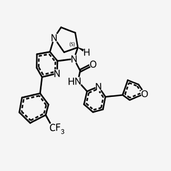 O=C(Nc1cccc(-c2ccoc2)n1)N1c2nc(-c3cccc(C(F)(F)F)c3)ccc2N2CC[C@H]1C2